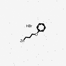 Br.[Zn][CH2]CCOc1ccccc1